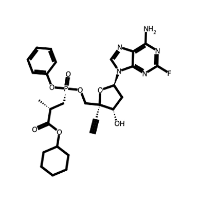 C#C[C@]1(CO[P@@](=O)(C[C@@H](C)C(=O)OC2CCCCC2)Oc2ccccc2)O[C@@H](n2cnc3c(N)nc(F)nc32)C[C@@H]1O